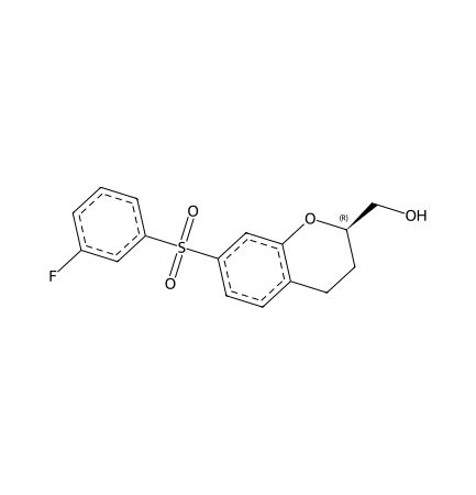 O=S(=O)(c1cccc(F)c1)c1ccc2c(c1)O[C@@H](CO)CC2